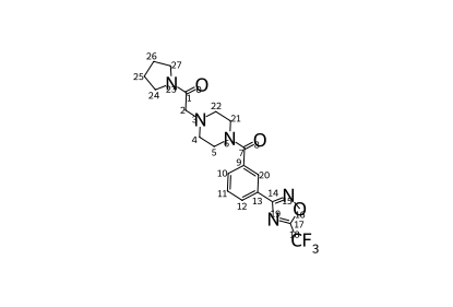 O=C(CN1CCN(C(=O)c2cccc(-c3noc(C(F)(F)F)n3)c2)CC1)N1CCCC1